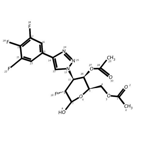 CC(=O)OC[C@H]1OC(O)[C@H](F)[C@@H](n2cc(-c3cc(F)c(F)c(F)c3)nn2)[C@H]1OC(C)=O